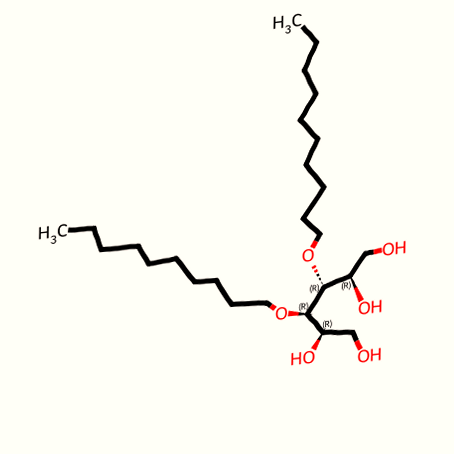 CCCCCCCCCCO[C@@H]([C@H](OCCCCCCCCCC)[C@H](O)CO)[C@H](O)CO